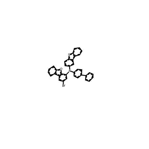 Brc1cc(N(c2ccc(-c3ccccc3)cc2)c2ccc3sc4ccccc4c3c2)c2oc3ccccc3c2c1